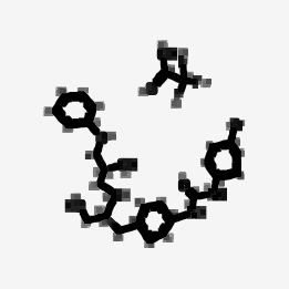 O=C(Nc1ccc(Br)cc1)Nc1ccc(C[C@@H](CO)NC[C@H](O)COc2ccccc2)cc1.O=C(O)C(F)(F)F